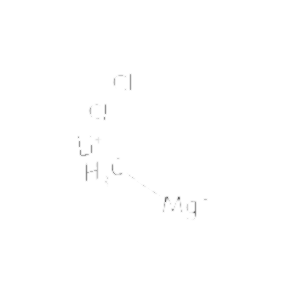 [CH3][Mg+].[Cl-].[Cl-].[Li+]